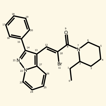 CCC1CCCCN1C(=O)C(Br)=Cc1c(-c2ccccc2)nn2ccccc12